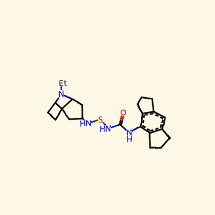 CCN1C2CCC23CC(NSNC(=O)Nc2c4c(cc5c2CCC5)CCC4)CC13